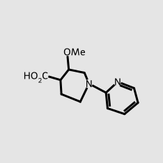 COC1CN(c2ccccn2)CCC1C(=O)O